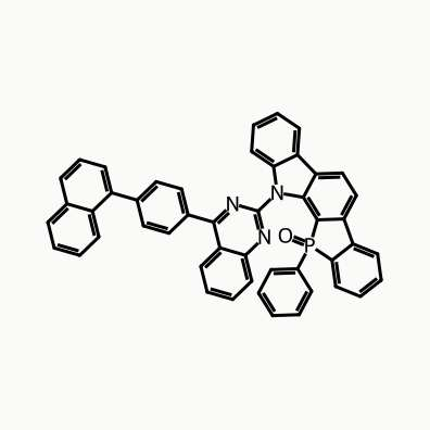 O=P1(c2ccccc2)c2ccccc2-c2ccc3c4ccccc4n(-c4nc(-c5ccc(-c6cccc7ccccc67)cc5)c5ccccc5n4)c3c21